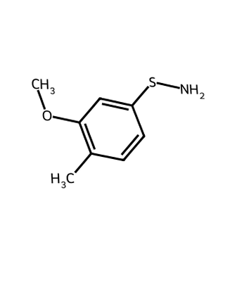 COc1cc(SN)ccc1C